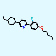 CCCCCOc1ccc(-c2ccc(C3CCC(CC)CC3)cn2)c(F)c1